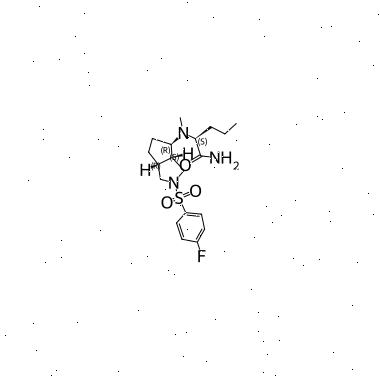 CCC[C@@H](C(N)=O)N(C)[C@@H]1CC[C@H]2CN(S(=O)(=O)c3ccc(F)cc3)C[C@H]21